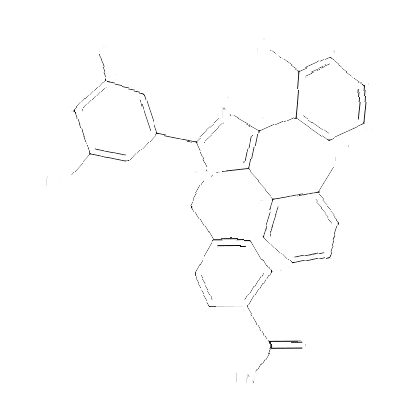 NC(=O)c1ccc(Cn2c(-c3cc(C(F)(F)F)cc(C(F)(F)F)c3)nc(-c3ccccc3Cl)c2-c2ccccc2Cl)cc1